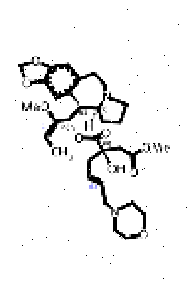 C/C=C(/OC)[C@@H](OC(=O)[C@@](O)(C/C=C/CN1CCOCC1)CC(=O)OC)[C@H]1c2cc3c(cc2CCN2CCC[C@@H]12)OCO3